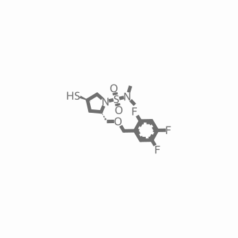 CN(C)S(=O)(=O)N1C[C@H](S)C[C@H]1COCc1cc(F)c(F)cc1F